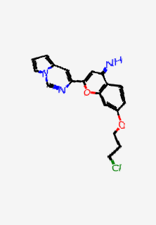 N=c1cc(-c2cc3cccn3cn2)oc2cc(OCCCCl)ccc12